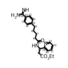 CCOC(=O)CC(NC(=O)CCCCc1ccc(C(=N)N)cc1)c1ccccn1